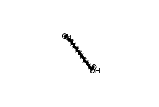 O=C=NCCCCCCCCCCCCCCCCCC(=O)O